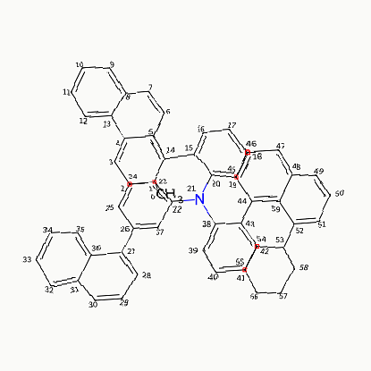 CC1CC=c2c(ccc3ccccc23)=C1c1ccccc1N(c1cccc(-c2cccc3ccccc23)c1)c1ccccc1-c1cccc2cccc(C3CCCCC3)c12